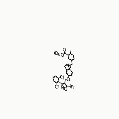 Cc1ccc(Cn2ccc3cc(OCc4c(-c5c(Cl)cccc5Cl)noc4C(C)C)ccc32)cc1C(=O)OCC(C)C